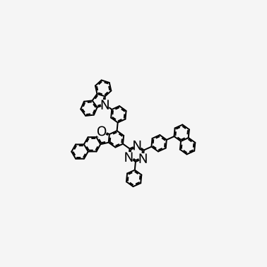 c1ccc(-c2nc(-c3ccc(-c4cccc5ccccc45)cc3)nc(-c3cc(-c4cccc(-n5c6ccccc6c6ccccc65)c4)c4oc5cc6ccccc6cc5c4c3)n2)cc1